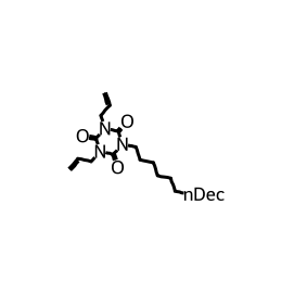 C=CCn1c(=O)n(CC=C)c(=O)n(CCCCCCCCCCCCCCCC)c1=O